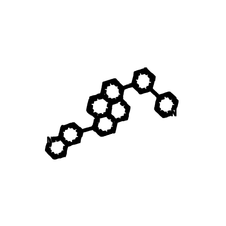 c1cc(-c2ccncc2)cc(-c2ccc3ccc4c(-c5ccc6ncccc6c5)ccc5ccc2c3c54)c1